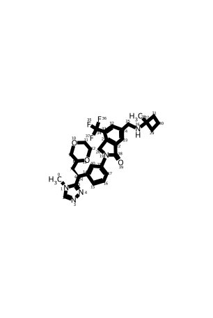 Cn1cnnc1[C@@H](CC1COCCO1)c1cccc(N2Cc3c(cc(CNC4(C)CCC4)cc3C(F)(F)F)C2=O)c1